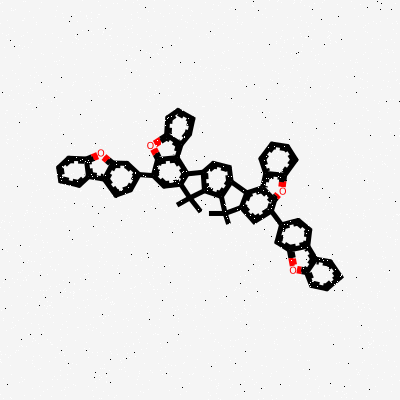 CC1(C)c2cc(-c3ccc4c(c3)oc3ccccc34)c3oc4ccccc4c3c2-c2ccc3c(c21)C(C)(C)c1cc(-c2ccc4c(c2)oc2ccccc24)c2oc4ccccc4c2c1-3